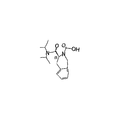 CC(C)N(C(=O)[C@@H]1Cc2ccccc2CN1C(=O)O)C(C)C